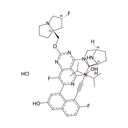 CC(C)[Si](C#Cc1c(F)ccc2cc(O)cc(-c3nc(CO)c4c(N5C[C@H]6CC[C@@H](C5)N6)nc(OC[C@@]56CCCN5C[C@H](F)C6)nc4c3F)c12)(C(C)C)C(C)C.Cl